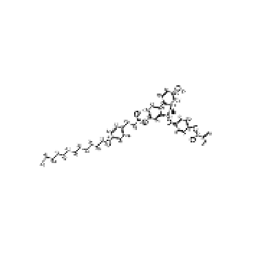 C=C(C)C(=O)Oc1ccc(Oc2nc3cc(OC)ccc3c3ccc(OC(=O)CCc4ccc(OCCCCCCCCCCCC)cc4)cc23)cc1